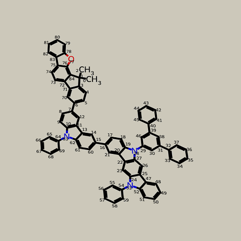 CC1(C)c2ccc(-c3ccc4c(c3)c3cc(-c5ccc6c(c5)c5cc7c(cc5n6-c5cc(-c6ccccc6)cc(-c6ccccc6)c5)c5ccccc5n7-c5ccccc5)ccc3n4-c3ccccc3)cc2-c2ccc3c(oc4ccccc43)c21